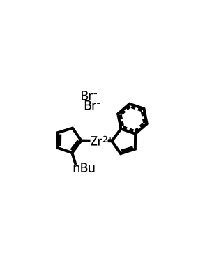 CCCCC1=[C]([Zr+2][CH]2C=Cc3ccccc32)CC=C1.[Br-].[Br-]